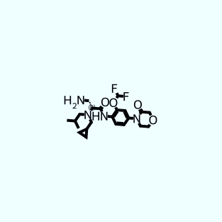 CC(C)CN(CC1CC1)[C@H](CN)C(=O)Nc1ccc(N2CCOCC2=O)cc1OC(F)F